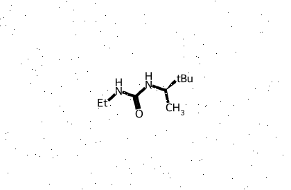 CCNC(=O)N[C@H](C)C(C)(C)C